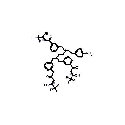 Nc1ccc(CCN(CCN(Cc2cccc(CC(=O)/C=C(\O)C(F)(F)F)c2)Cc2cccc(C(=O)/C=C(\O)C(F)(F)F)c2)Cc2cccc(C(=O)/C=C(\O)C(F)(F)F)c2)cc1